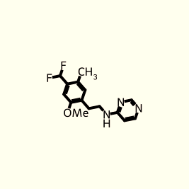 COc1cc(C(F)F)c(C)cc1CCNc1ccncn1